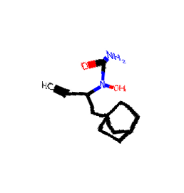 C#CC(CC12CCC(CC1)C2)N(O)C(N)=O